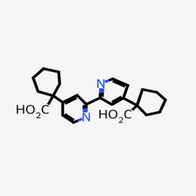 O=C(O)C1(c2ccnc(-c3cc(C4(C(=O)O)CCCCC4)ccn3)c2)CCCCC1